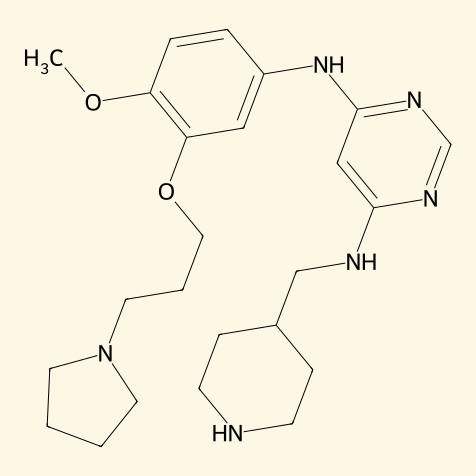 COc1ccc(Nc2cc(NCC3CCNCC3)ncn2)cc1OCCCN1CCCC1